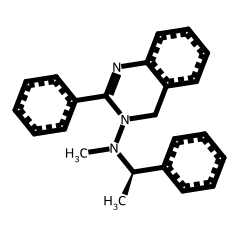 C[C@H](c1ccccc1)N(C)N1Cc2ccccc2N=C1c1ccccc1